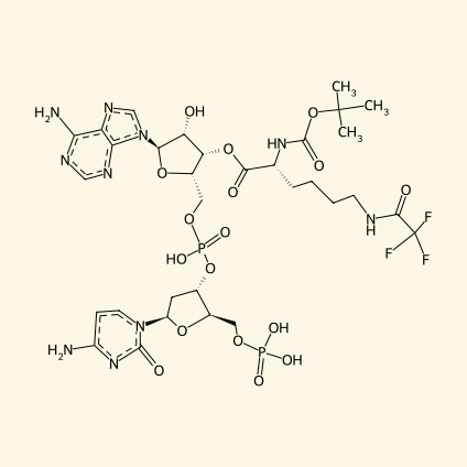 CC(C)(C)OC(=O)N[C@H](CCCCNC(=O)C(F)(F)F)C(=O)O[C@H]1[C@@H](O)[C@H](n2cnc3c(N)ncnc32)O[C@H]1COP(=O)(O)O[C@H]1C[C@H](n2ccc(N)nc2=O)O[C@@H]1COP(=O)(O)O